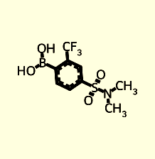 CN(C)S(=O)(=O)c1ccc(B(O)O)c(C(F)(F)F)c1